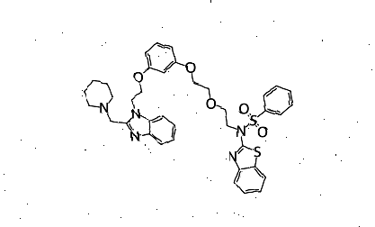 O=S(=O)(c1ccccc1)N(CCOCCOc1cccc(OCCn2c(CN3CCCCC3)nc3ccccc32)c1)c1nc2ccccc2s1